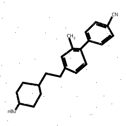 CCCCC1CCC(CCc2ccc(-c3ccc(C#N)cc3)c(C)c2)CC1